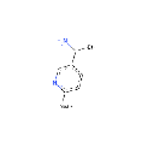 C[CH]C(N)c1ccc(NC)nc1